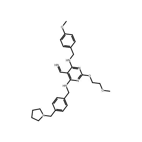 COCCOc1nc(NCc2ccc(CN3CCCC3)cc2)c(C=N)c(NCc2ccc(OC)cc2)n1